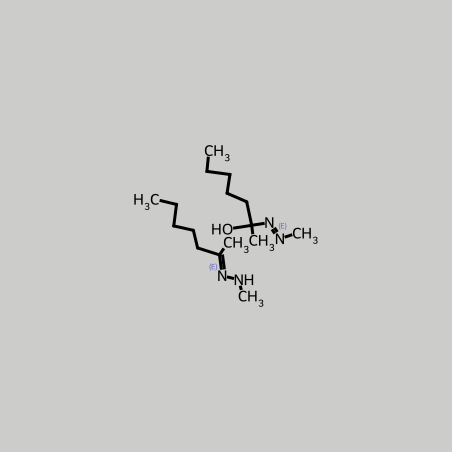 CCCCC/C(C)=N/NC.CCCCCC(C)(O)/N=N/C